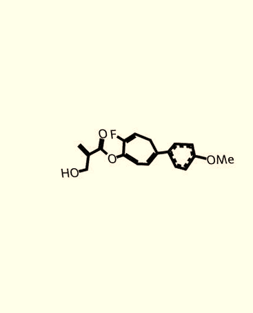 C=C(CO)C(=O)OC1=CC=C(c2ccc(OC)cc2)CC=C1F